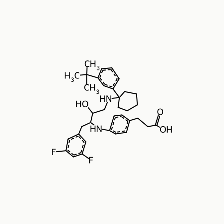 CC(C)(C)c1cccc(C2(NCC(O)C(Cc3cc(F)cc(F)c3)Nc3ccc(CCC(=O)O)cc3)CCCCC2)c1